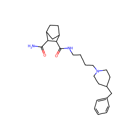 NC(=O)C1C2CCC(C2)C1C(=O)NCCCCN1CCC(Cc2ccccc2)CC1